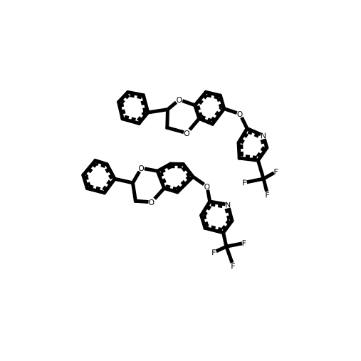 FC(F)(F)c1ccc(Oc2ccc3c(c2)OCC(c2ccccc2)O3)nc1.FC(F)(F)c1ccc(Oc2ccc3c(c2)OCC(c2ccccc2)O3)nc1